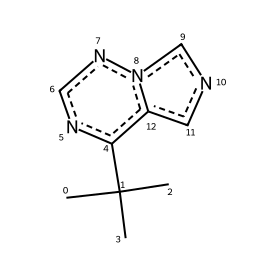 CC(C)(C)c1ncnn2cncc12